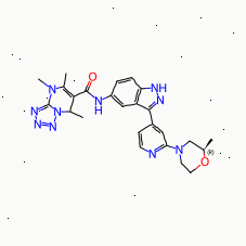 CC1=C(C(=O)Nc2ccc3[nH]nc(-c4ccnc(N5CCO[C@H](C)C5)c4)c3c2)C(C)n2nnnc2N1C